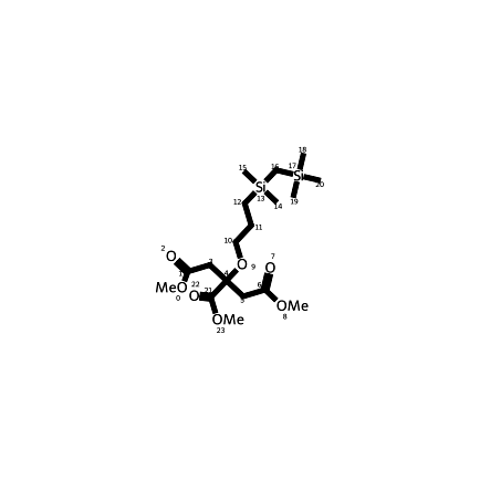 COC(=O)CC(CC(=O)OC)(OCCC[Si](C)(C)C[Si](C)(C)C)C(=O)OC